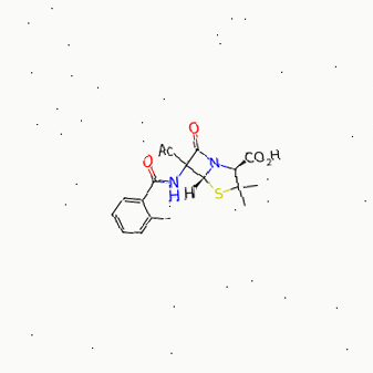 CC(=O)C1(NC(=O)c2ccccc2C)C(=O)N2[C@@H](C(=O)O)C(C)(C)S[C@@H]21